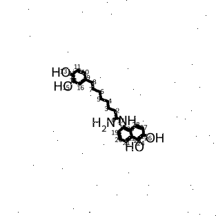 NC(CCCCCCCc1ccc(O)c(O)c1)Nc1cccc2c(O)c(O)ccc12